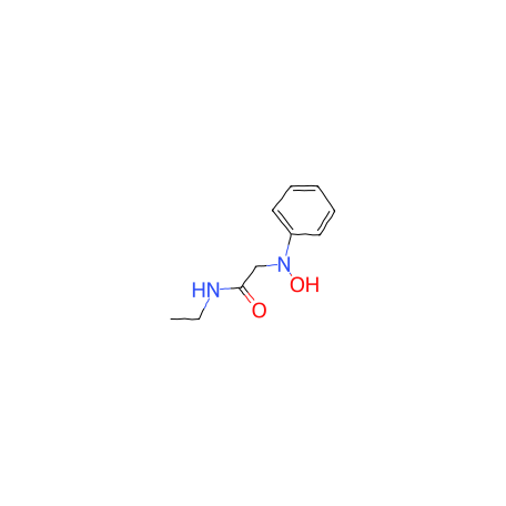 CCNC(=O)CN(O)c1ccccc1